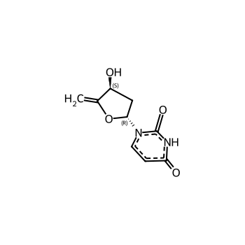 C=C1O[C@@H](n2ccc(=O)[nH]c2=O)C[C@@H]1O